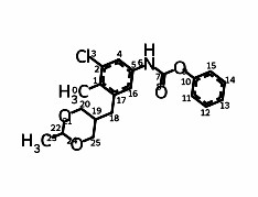 Cc1c(Cl)cc(NC(=O)Oc2ccccc2)cc1CC1COC(C)OC1